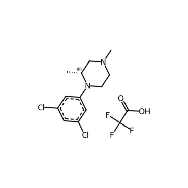 C[C@@H]1CN(C)CCN1c1cc(Cl)cc(Cl)c1.O=C(O)C(F)(F)F